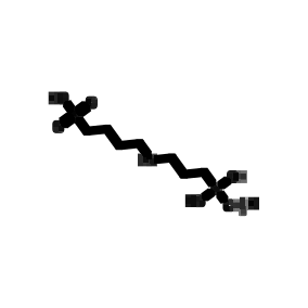 C[Si](O)(O)CCCNCCCCS(=O)(=O)O.[LiH]